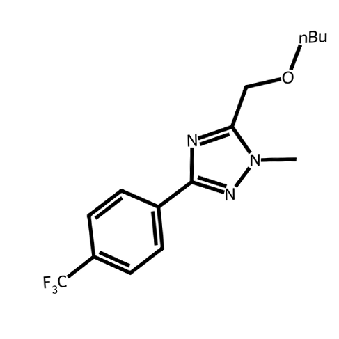 CCCCOCc1nc(-c2ccc(C(F)(F)F)cc2)nn1C